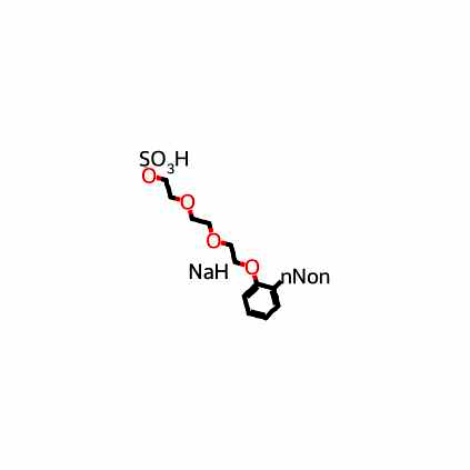 CCCCCCCCCc1ccccc1OCCOCCOCCOS(=O)(=O)O.[NaH]